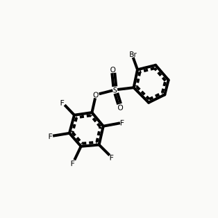 O=S(=O)(Oc1c(F)c(F)c(F)c(F)c1F)c1ccccc1Br